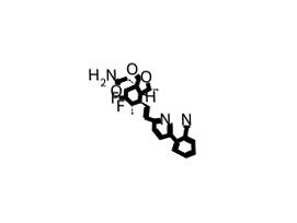 C[C@H]1OC(=O)[C@]2(CC(N)=O)CC(F)(F)[C@@H](C)[C@H](C=Cc3ccc(-c4ccccc4C#N)cn3)[C@H]12